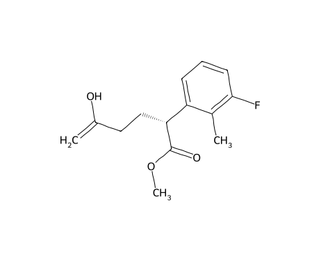 C=C(O)CC[C@@H](C(=O)OC)c1cccc(F)c1C